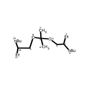 CCCCC(CC)COC(C)(C)OCC(CC)CCCC